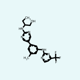 CCC(CO)Nc1ncc(-c2cc(C)cc(Nc3nccc(C(F)(F)F)n3)c2)cn1